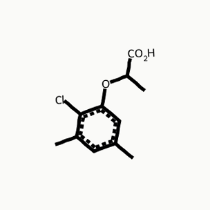 Cc1cc(C)c(Cl)c(OC(C)C(=O)O)c1